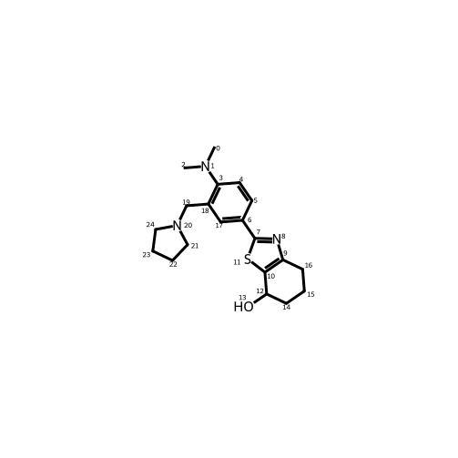 CN(C)c1ccc(-c2nc3c(s2)C(O)CCC3)cc1CN1CCCC1